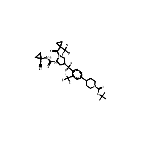 CC(C)(C)OC(=O)N1CCC(c2ccc(C(F)(F)C3C[C@@H](C(=O)NC4(C#N)CC4)N(C(=O)C4(C(F)(F)F)CC4)C3)c(C(F)(F)F)c2)CC1